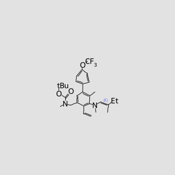 C=Cc1c(CN(C)C(=O)OC(C)(C)C)cc(-c2ccc(OC(F)(F)F)cc2)c(C)c1N(C)/C=C(\C)CC